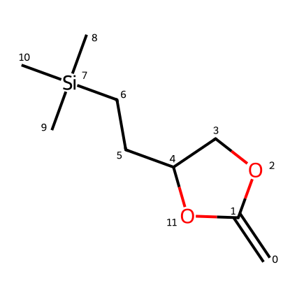 C=C1OCC(CC[Si](C)(C)C)O1